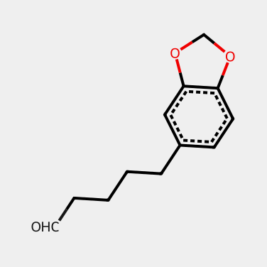 O=CCCCCc1ccc2c(c1)OCO2